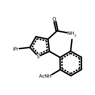 CC(=O)Nc1cccc(C)c1-c1sc(C(C)C)cc1C(N)=O